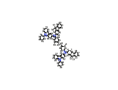 Cc1cc(N(c2ccc3c(c2)C(C)(C)c2ccccc2-3)c2ccc3c(c2)c2ccccc2n3-c2ccccc2)ccc1CCc1ccc(N(c2ccc3c(c2)C(C)(C)c2ccccc2-3)c2ccc3c(c2)c2ccccc2n3-c2ccccc2)cc1C